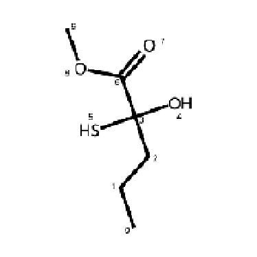 CCCC(O)(S)C(=O)OC